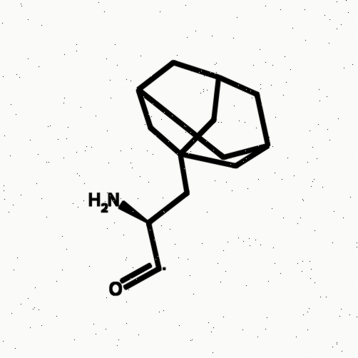 N[C@H]([C]=O)CC12CC3CC(CC(C3)C1)C2